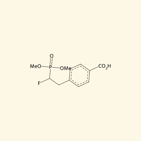 COP(=O)(OC)C(F)Cc1ccc(C(=O)O)cc1